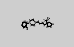 O=C1OC(CCN2CCN(c3ccccc3I)CC2)CC12CCCC2